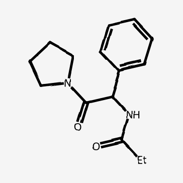 CCC(=O)NC(C(=O)N1CCCC1)c1ccccc1